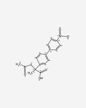 CC(=O)SC(C)(C(=O)O)c1ccc(-c2ccc([N+](=O)[O-])cc2)cc1